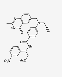 C#CCN(Cc1ccc2nc(C)[nH]c(=O)c2c1)c1ccc(C(=O)NC(COC(C)=O)c2cccc([N+](=O)[O-])c2)cc1